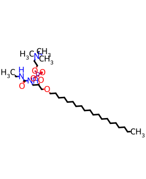 CCCCCCCCCCCCCCCCCCCCOCC(CNC(=O)NCC)OP(=O)([O-])OCC[N+](C)(C)C